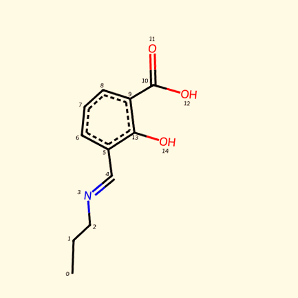 CCCN=Cc1cccc(C(=O)O)c1O